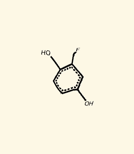 Oc1[c]cc(O)c(F)c1